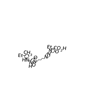 CCC1=C(C(=O)O)C(=O)CC(N2CCN(CCCCCn3c(=O)cc(Nc4ccc(C)c(CC)c4)[nH]c3=O)CC2)=N1